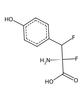 N[C@](F)(C(=O)O)C(F)c1ccc(O)cc1